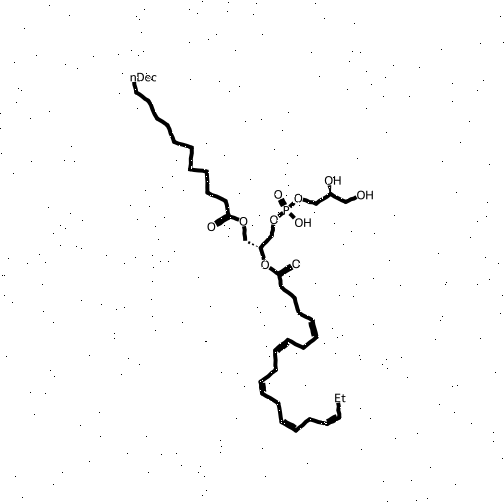 CC/C=C\C/C=C\C/C=C\C/C=C\C/C=C\CCCC(=O)O[C@H](COC(=O)CCCCCCCCCCCCCCCCCCCC)COP(=O)(O)OC[C@@H](O)CO